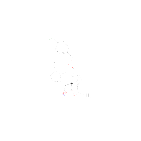 CC(C)C1=CC2CC3(C#N)C4CCC(C)C4CC2(COCc2ccc(Br)cc2)C13C(=O)O